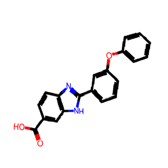 O=C(O)c1ccc2nc(-c3cccc(Oc4ccccc4)c3)[nH]c2c1